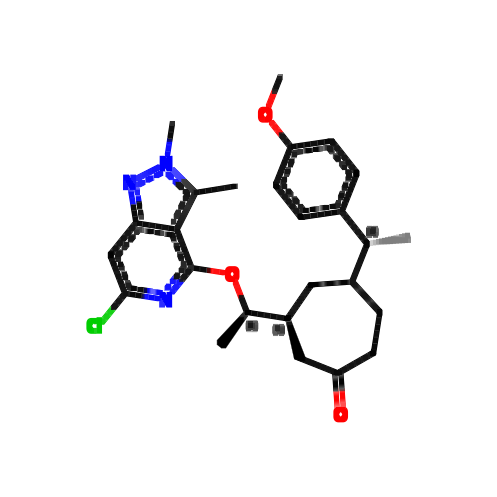 COc1ccc([C@H](C)C2CCC(=O)C[C@@H]([C@@H](C)Oc3nc(Cl)cc4nn(C)c(C)c34)C2)cc1